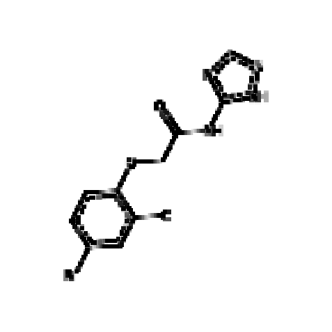 O=C(COc1ccc(Br)cc1Cl)Nc1ncn[nH]1